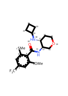 COc1cc(C(F)(F)F)cc(SC)c1C(=O)N[C@@H]1COCC[C@H]1NC1CCC1